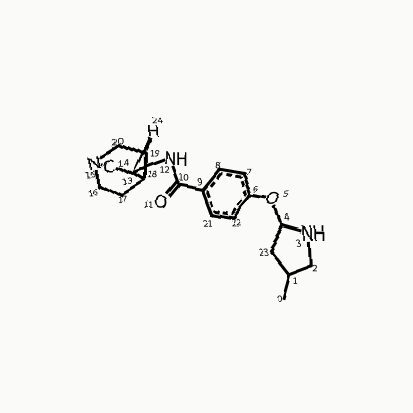 CC1CNC(Oc2ccc(C(=O)N[C@H]3CN4CCC3CC4)cc2)C1